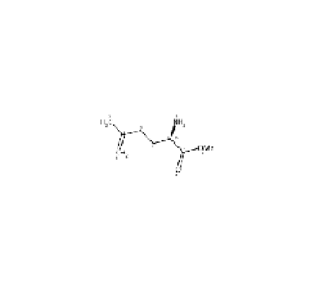 C=C(C)CC[C@@H](N)C(=O)OC